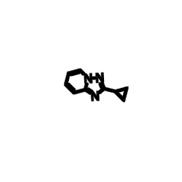 c1ccn2nc(C3CC3)nc2c1